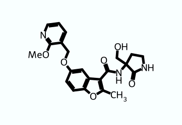 COc1ncccc1COc1ccc2oc(C)c(C(=O)NC3(CO)CCNC3=O)c2c1